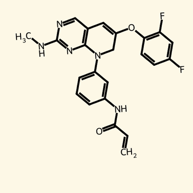 C=CC(=O)Nc1cccc(N2CC(Oc3ccc(F)cc3F)=Cc3cnc(NC)nc32)c1